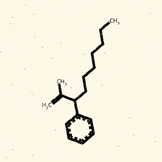 C=C(C)C(CCCCCCC)c1ccccc1